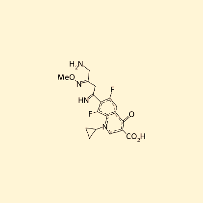 CON=C(CN)CC(=N)c1c(F)cc2c(=O)c(C(=O)O)cn(C3CC3)c2c1F